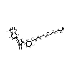 CNc1ccc(-c2cc(-c3cccc(OCCOCCOCCOCCF)c3)[nH]n2)cc1